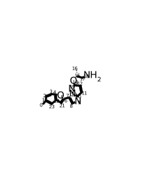 Cc1ccc2oc(-c3cnc4ccc(O[C@H](C)CN)nn34)cc2c1